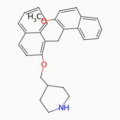 COc1ccc2ccccc2c1Cc1c(OCC2CCNCC2)ccc2ccccc12